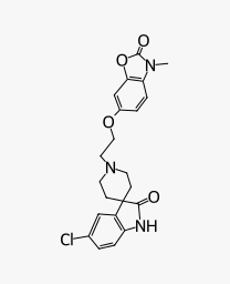 Cn1c(=O)oc2cc(OCCN3CCC4(CC3)C(=O)Nc3ccc(Cl)cc34)ccc21